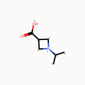 CC(C)N1CC(C(=O)O)C1